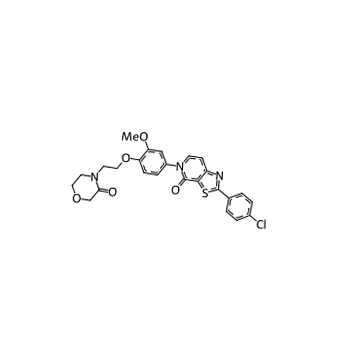 COc1cc(-n2ccc3nc(-c4ccc(Cl)cc4)sc3c2=O)ccc1OCCN1CCOCC1=O